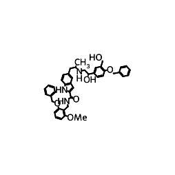 COc1cccc(OCc2ccccc2)c1CNC(=O)c1cc2cc(C[C@@H](C)NC[C@H](O)c3ccc(OCc4ccccc4)c(CO)c3)ccc2[nH]1